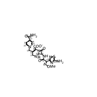 CO/N=C(/C(=O)NC1C(=O)N2C(C(=O)[O-])=C(C[n+]3ccc(C(N)=O)cc3)CS[C@H]12)c1nsc(N)n1